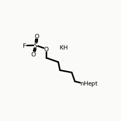 CCCCCCCCCCCCOS(=O)(=O)F.[KH]